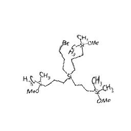 CO[Si](C)(C)CCC[Si](CCCBr)(CCC[Si](C)(C)OC)CCC[Si](C)(C)OC